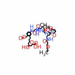 CCCOCCC(=O)NCC1C[C@@H](N2C(=O)C=CC2=O)C(=O)N1CC(=O)NC(C(=O)NCC(=O)Nc1ccc(COC=O)c(CCC2CC(O)CC(C(=O)O)O2)c1)C(C)C